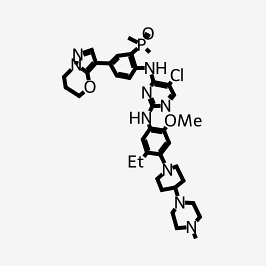 CCc1cc(Nc2ncc(Cl)c(Nc3ccc(-c4cnn5c4OCCC5)cc3P(C)(C)=O)n2)c(OC)cc1N1CCC(N2CCN(C)CC2)CC1